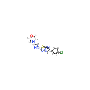 Clc1ccc(-c2cn3nc(NCCN4CCOCC4)sc3n2)cc1